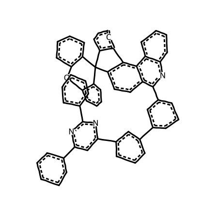 c1ccc(-c2cc(-c3cccc(-c4cccc(-c5nc6ccccc6c6c7c(ccc56)C5(c6ccccc6Oc6ccccc65)c5ccccc5-7)c4)c3)nc(-c3ccccc3)n2)cc1